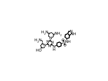 NC[C@@H]1C[C@@H](O)CN1c1nc(Nc2ccc(S(=O)(=O)Nc3ccc4cn[nH]c4c3)cc2)nc(N2C[C@H](N)C[C@H](N)C2)n1